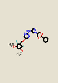 COc1cc(OC)c(F)c(COc2cnc(Nc3cnn(C4COC(c5ccccc5)OC4)c3)nc2)c1F